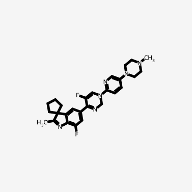 CC1=Nc2c(F)cc(C3=NCN(c4ccc(N5CCN(C)CC5)cn4)C=C3F)cc2C12CCCC2